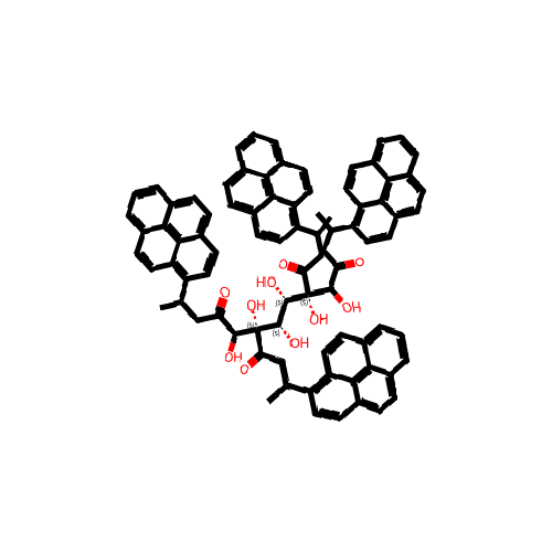 CC(CC(=O)C(O)[C@](O)(C(=O)CC(C)c1ccc2ccc3cccc4ccc1c2c34)[C@@H](O)[C@H](O)[C@@](O)(C(=O)CC(C)c1ccc2ccc3cccc4ccc1c2c34)C(O)C(=O)CC(C)c1ccc2ccc3cccc4ccc1c2c34)c1ccc2ccc3cccc4ccc1c2c34